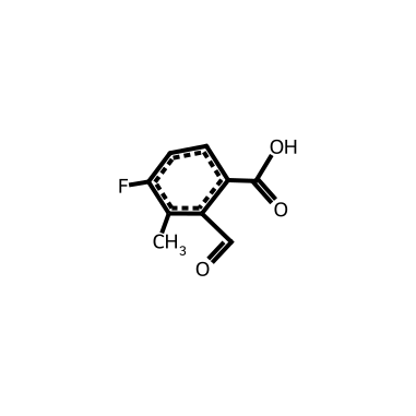 Cc1c(F)ccc(C(=O)O)c1C=O